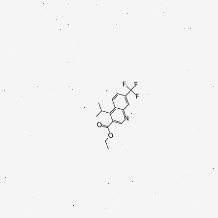 CCOC(=O)c1cnc2cc(C(F)(F)F)ccc2c1C(C)C